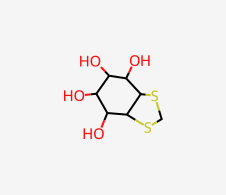 OC1C(O)C(O)C2SCSC2C1O